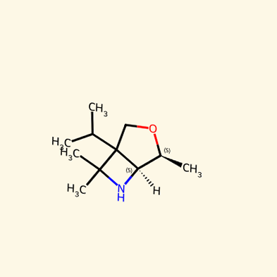 CC(C)C12CO[C@@H](C)[C@H]1NC2(C)C